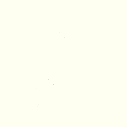 COC(=O)N[C@H](C(=O)N1[C@@H]2C[C@@H]2C[C@H]1c1nc(-c2ccc(/C=C/c3ccc(-c4c[nH]c([C@@H]5C[C@H]6C[C@H]6N5C(=O)[C@H](C(C)C)N(C)C(=O)O)n4)cc3)cc2)c[nH]1)C(C)C